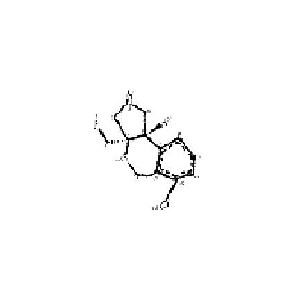 FC[C@]12CNC[C@@H]1c1cccc(Cl)c1CO2